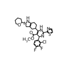 COC(=O)C1=C(C2CCC3=C(C2)CN(C2CCCCO2)N3)NC(c2nccs2)=NC1c1ccc(F)c(F)c1Cl